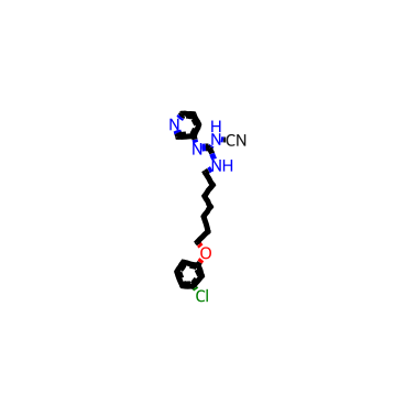 N#CN/C(=N\c1cccnc1)NCCCCCCCOc1cccc(Cl)c1